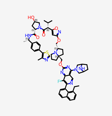 CCc1cccc2cccc(-c3ncc4c(N5CC6CCC(C5)N6)nc(OC[C@@]56CCCN5[C@H](COc5cc([C@H](C(=O)N7C[C@H](O)C[C@H]7C(=O)N[C@@H](C)c7ccc(-c8scnc8C)cc7)C(C)C)on5)CC6)nc4c3F)c12